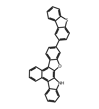 c1ccc2c(c1)[nH]c1c3oc4cc(-c5ccc6sc7ccccc7c6c5)ccc4c3c3ccccc3c21